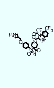 CC(C)C(C(=O)N1CCC2(CC1)C(=O)N(C)C(=O)N2c1ccc(OCC2CNC2)cc1)N(C(=O)C(F)(F)F)c1cc(C(F)(F)F)ccc1F